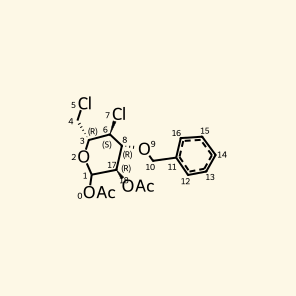 CC(=O)OC1O[C@H](CCl)[C@@H](Cl)[C@H](OCc2ccccc2)[C@H]1OC(C)=O